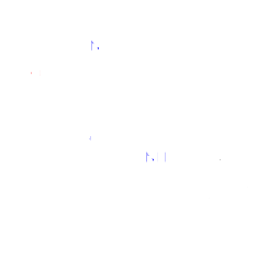 CC1(CN/C=C(\C=N)C=O)CC1